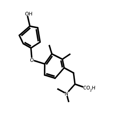 Cc1c(CC(C(=O)O)N(C)C)ccc(Oc2ccc(O)cc2)c1C